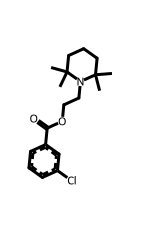 CC1(C)CCCC(C)(C)N1CCOC(=O)c1cccc(Cl)c1